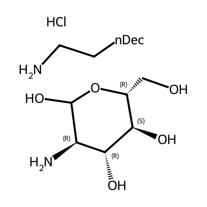 CCCCCCCCCCCCN.Cl.N[C@H]1C(O)O[C@H](CO)[C@@H](O)[C@@H]1O